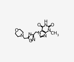 Cn1c(=O)[nH]c(=O)c2c1ncn2Cc1noc(CN2CCOCC2)n1